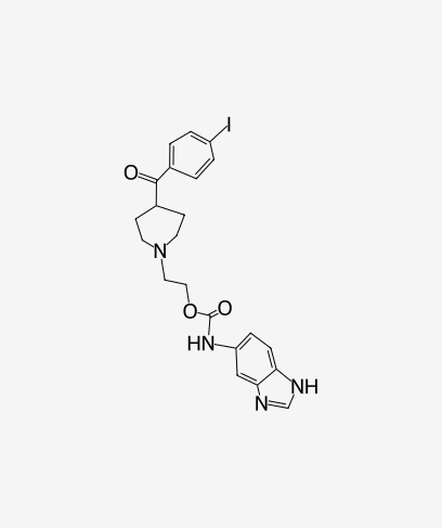 O=C(Nc1ccc2[nH]cnc2c1)OCCN1CCC(C(=O)c2ccc(I)cc2)CC1